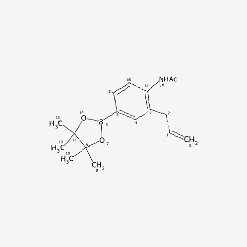 C=CCc1cc(B2OC(C)(C)C(C)(C)O2)ccc1NC(C)=O